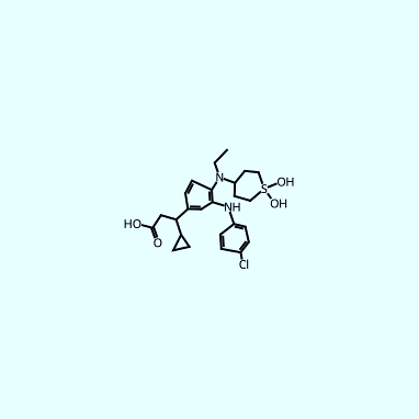 CCN(c1ccc(C(CC(=O)O)C2CC2)cc1Nc1ccc(Cl)cc1)C1CCS(O)(O)CC1